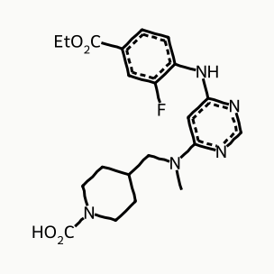 CCOC(=O)c1ccc(Nc2cc(N(C)CC3CCN(C(=O)O)CC3)ncn2)c(F)c1